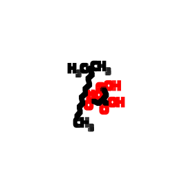 CCCCC(CCCCCCC(C)C)OC(=O)CC(O)(CC(=O)O)C(=O)O